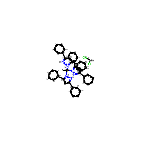 CC(n1nc(-c2ccccc2)cc1-c1ccccc1)(n1nc(-c2ccccc2)cc1-c1ccccc1)n1nc(-c2ccccc2)cc1-c1ccccc1.[Cl][Mn][Cl]